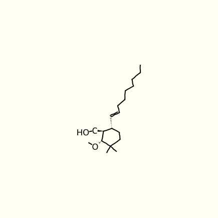 CCCCCCC/C=C/[C@@H]1CCC(C)(C)[C@H](OC)[C@H]1CO